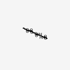 CCCCCOC(=O)CCC(=O)OCCCCOC(=O)NCCCCCCNC(=O)OCC